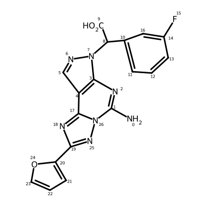 Nc1nc2c(cnn2C(C(=O)O)c2cccc(F)c2)c2nc(-c3ccco3)nn12